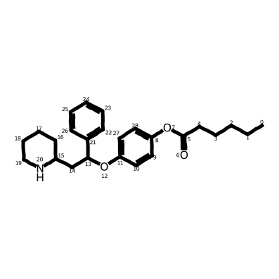 CCCCCC(=O)Oc1ccc(OC(CC2CCCCN2)c2ccccc2)cc1